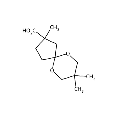 CC1(C)COC2(CCC(C)(C(=O)O)C2)OC1